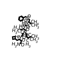 CC(CCN(CC(=O)NC(CC1CCC1)C(=O)C(N)=O)C(=O)[C@@H](NC(=O)NC(CS(=O)(=O)Cc1ccccc1)C(C)(C)C)C(C)(C)C)C(C)(C)C